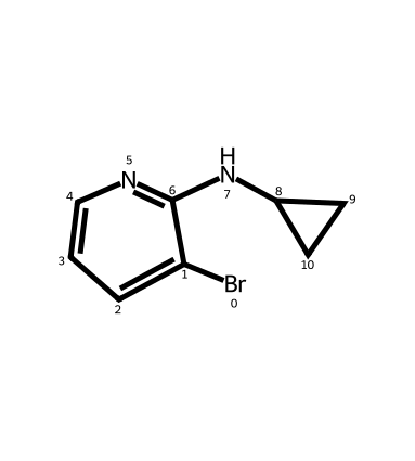 Brc1cccnc1NC1CC1